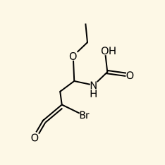 CCOC(CC(Br)=C=O)NC(=O)O